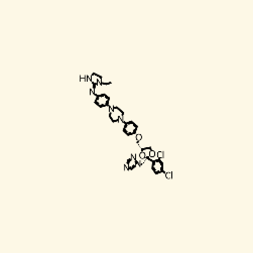 CCN1CCNC1=Nc1ccc(N2CCN(c3ccc(OC[C@@H]4CO[C@@](Cn5cncn5)(c5ccc(Cl)cc5Cl)O4)cc3)CC2)cc1